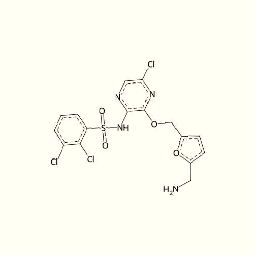 NCc1ccc(COc2nc(Cl)cnc2NS(=O)(=O)c2cccc(Cl)c2Cl)o1